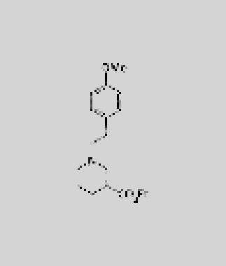 CCOC(=O)C1CCCN(CCc2ccc(OC)cc2)C1